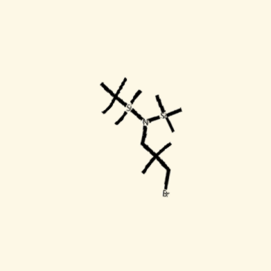 CC(C)(CBr)CN([Si](C)(C)C)[Si](C)(C)C(C)(C)C